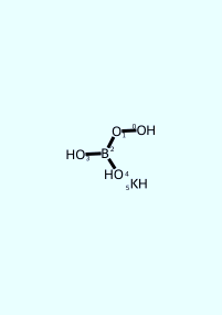 OOB(O)O.[KH]